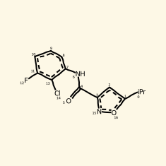 CC(C)c1cc(C(=O)Nc2cccc(F)c2Cl)no1